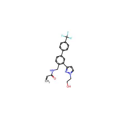 C=CC(=O)NCc1ccc(-c2ccc(C(F)(F)F)cc2)cc1-c1ccn(CCO)n1